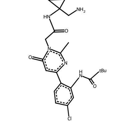 Cc1nc(-c2ccc(Cl)cc2NC(=O)C(C)(C)C)cc(=O)n1CC(=O)NC1(CN)CC1